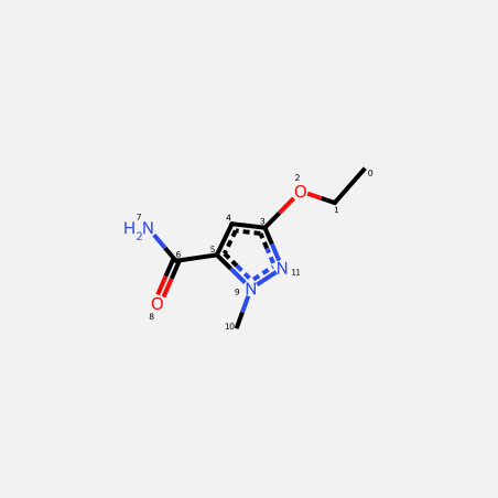 CCOc1cc(C(N)=O)n(C)n1